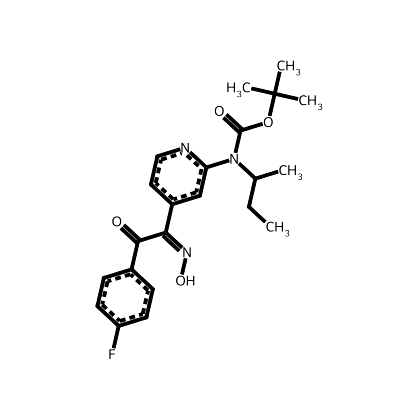 CCC(C)N(C(=O)OC(C)(C)C)c1cc(C(=NO)C(=O)c2ccc(F)cc2)ccn1